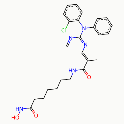 C=N/C(=N\C=C(/C)C(=O)NCCCCCCC(=O)NO)N(c1ccccc1)c1ccccc1Cl